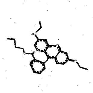 CCCCOC(=O)c1ccccc1-c1c2ccc(=NCC)cc-2oc2cc(NCC)ccc12